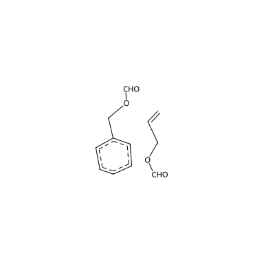 C=CCOC=O.O=COCc1ccccc1